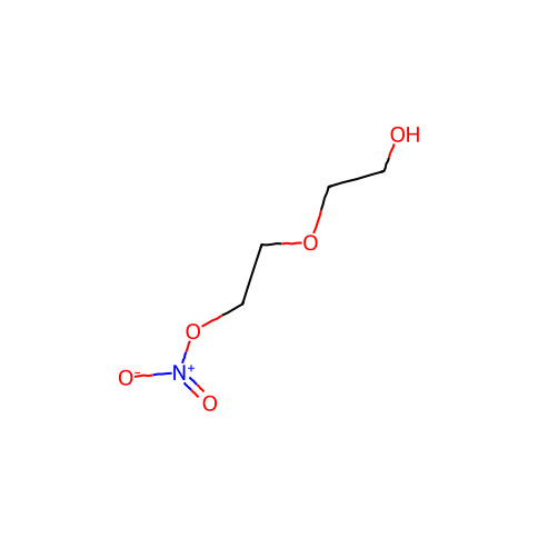 O=[N+]([O-])OCCOCCO